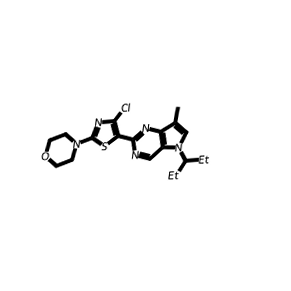 CCC(CC)n1cc(C)c2nc(-c3sc(N4CCOCC4)nc3Cl)ncc21